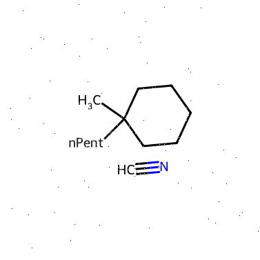 C#N.CCCCCC1(C)CCCCC1